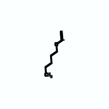 CCCCCO[C]=S